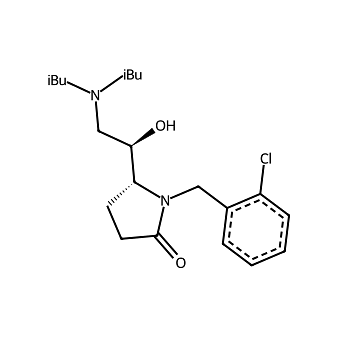 CCC(C)N(C[C@@H](O)[C@H]1CCC(=O)N1Cc1ccccc1Cl)C(C)CC